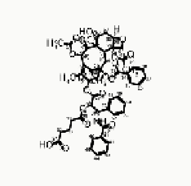 CC(=O)O[C@H]1C(=O)[C@@]2(C)C([C@H](OC(=O)c3ccccc3)C3(O)C[C@H](OC(=O)[C@H](OC(=O)CCCC(=O)O)[C@@H](NC(=O)c4ccccc4)c4ccccc4)C(C)=C1C3(C)C)[C@]1(OC(C)=O)CO[C@@H]1C[C@@H]2O